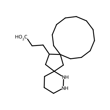 O=C(O)CCC1CC2(CCCNN2)CC12CCCCCCCCCCC2